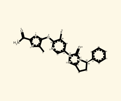 Cc1nc(C(N)=O)sc1Oc1ncc(-n2nc3n(c2=O)[C@@H](c2ccccc2)CC3)cc1F